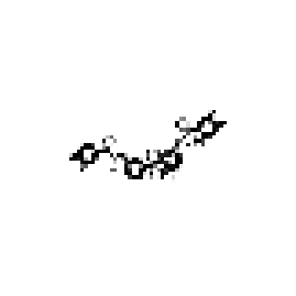 Cc1ccc(C(=O)NCc2cccc(C(c3cccc(CNC(=O)c4ccc(C)c(C)c4)c3)(C(F)(F)F)C(F)(F)F)c2)cc1C